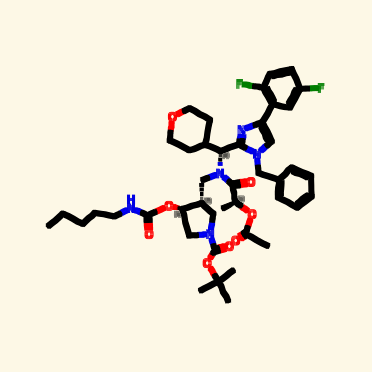 CCCCCNC(=O)O[C@@H]1CN(C(=O)OC(C)(C)C)C[C@H]1CN(C(=O)[C@H](C)OC(C)=O)[C@@H](c1nc(-c2cc(F)ccc2F)cn1Cc1ccccc1)C1CCOCC1